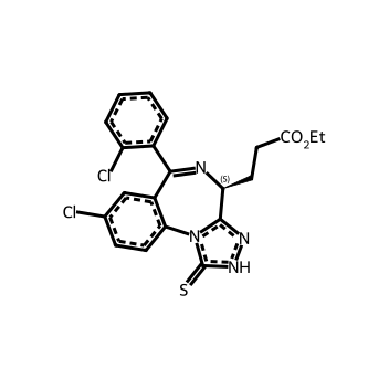 CCOC(=O)CC[C@@H]1N=C(c2ccccc2Cl)c2cc(Cl)ccc2-n2c1n[nH]c2=S